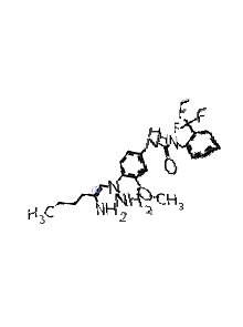 CCCC/C(N)=C/N(N)c1ccc(NC(=O)Nc2ccccc2C(F)(F)F)cc1OC